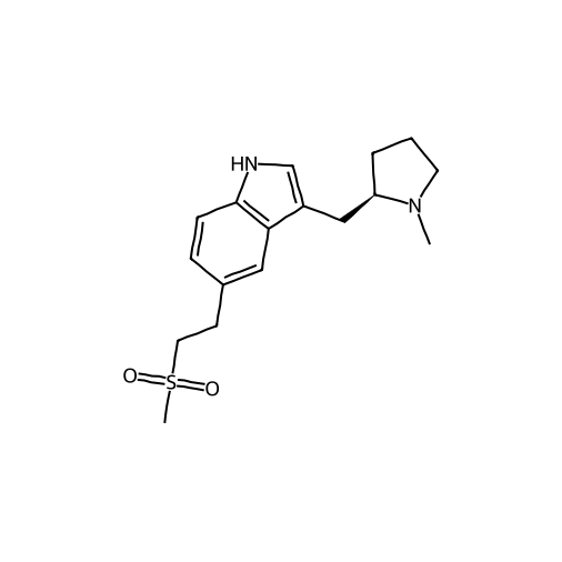 CN1CCC[C@@H]1Cc1c[nH]c2ccc(CCS(C)(=O)=O)cc12